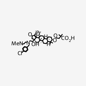 CNCCN(Cc1ccc(Cl)cc1)C[C@H](O)[C@@]12CC[C@]3(C)[C@H](CC[C@@H]4[C@@]5(C)CC[C@H](OC(=O)CC(C)(C)C(=O)O)C(C)(C)[C@@H]5CC[C@]43C)C1=C(C(C)C)C(=O)C2